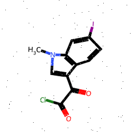 Cn1cc(C(=O)C(=O)Cl)c2ccc(I)cc21